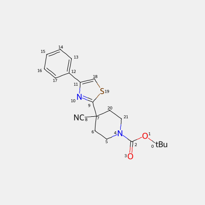 CC(C)(C)OC(=O)N1CCC(C#N)(c2nc(-c3ccccc3)cs2)CC1